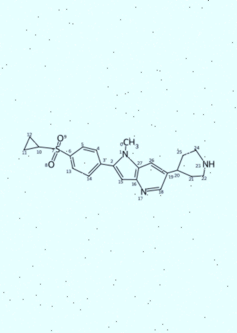 Cn1c(-c2ccc(S(=O)(=O)C3CC3)cc2)cc2ncc(C3CCNCC3)cc21